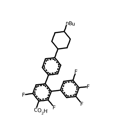 CCCCC1CCC(c2ccc(-c3cc(F)c(C(=O)O)c(F)c3-c3cc(F)c(F)c(F)c3)cc2)CC1